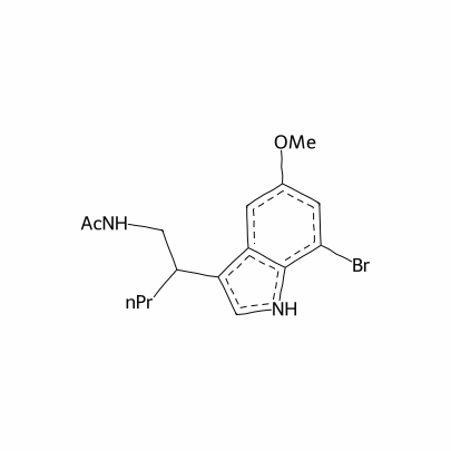 CCCC(CNC(C)=O)c1c[nH]c2c(Br)cc(OC)cc12